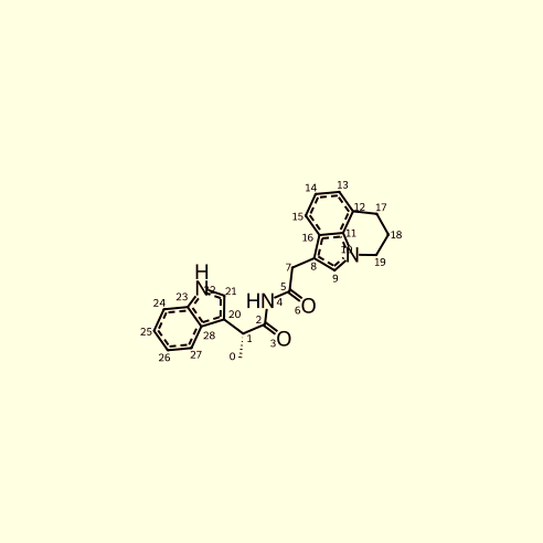 C[C@@H](C(=O)NC(=O)Cc1cn2c3c(cccc13)CCC2)c1c[nH]c2ccccc12